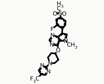 Cn1cc(-c2ccc(S(C)(=O)=O)cc2F)c2ncnc(OC3CCN(c4ncc(C(F)(F)F)cn4)CC3)c21